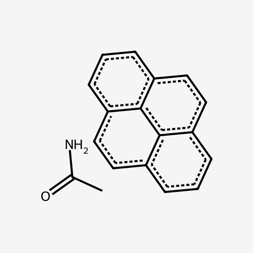 CC(N)=O.c1cc2ccc3cccc4ccc(c1)c2c34